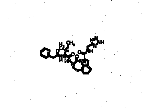 CC[C@H](C)[C@H](NC(=O)Cc1ccccc1)C(=O)N[C@H]1CCc2cccc3c2N(C1=O)[C@H](C(=O)NCc1nn[nH]n1)C3